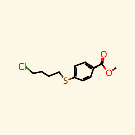 COC(=O)c1ccc(SCCCCCl)cc1